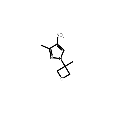 Cc1nn(C2(C)COC2)cc1[N+](=O)[O-]